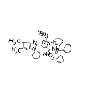 Cc1cc2nc(CC[C@H](NC(=O)OC(C)(C)C)C(=O)NOC(c3ccccc3)(c3ccccc3)c3ccccc3)n(-c3cccc([N+](=O)[O-])c3)c2cc1C